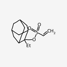 C=CS(=O)(=O)OC1(CC)C2CC3CC(C2)CC1C3